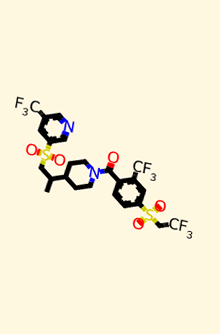 CC(CS(=O)(=O)c1cncc(C(F)(F)F)c1)C1CCN(C(=O)c2ccc(S(=O)(=O)CC(F)(F)F)cc2C(F)(F)F)CC1